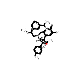 C=CC(c1ccc(C)cc1)S(=O)(=O)N(CC(=O)OC)Cc1c(C(=O)OC)cc(Br)c(=O)n1C(C)c1ccccc1